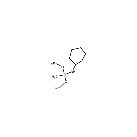 CCCO[Si](C)(NC1CCCCC1)OCCC